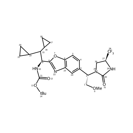 COC[C@H](c1ccc2oc([C@@H](NC(=O)OC(C)(C)C)C(C3CC3)C3CC3)nc2c1)N1C[C@@H](C(F)(F)F)NC1=O